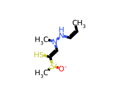 C/C=C\NN(C)/C=C(\S)[S+](C)[O-]